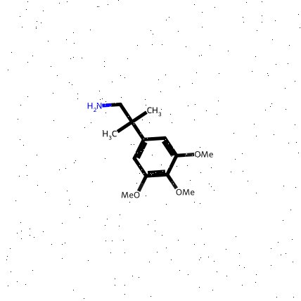 COc1cc(C(C)(C)CN)cc(OC)c1OC